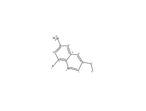 CCc1cnc2c(F)cc(N)cc2c1